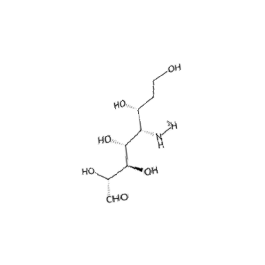 [2H]N[C@H]([C@@H](O)[C@@H](O)[C@@H](O)C=O)[C@H](O)CCO